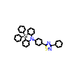 c1ccc(-c2nsc(-c3ccc(N4c5ccccc5[Si](c5ccccc5)(c5ccccc5)c5ccccc54)cc3)n2)cc1